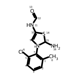 Cc1cccc(Cl)c1N1C=C(NC=O)SC1N